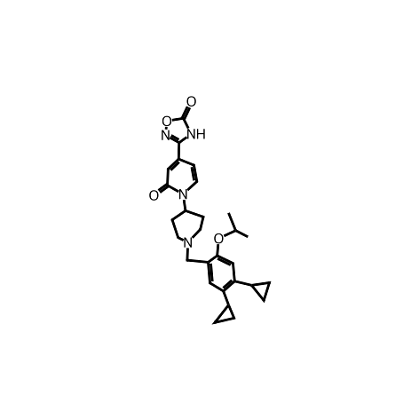 CC(C)Oc1cc(C2CC2)c(C2CC2)cc1CN1CCC(n2ccc(-c3noc(=O)[nH]3)cc2=O)CC1